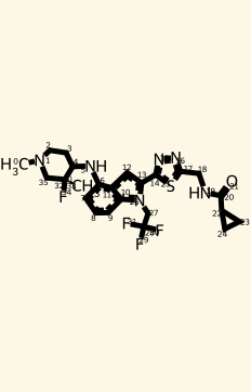 CN1CCC(Nc2cccc3c2cc(-c2nnc(CNC(=O)C4CC4)s2)n3CC(F)(F)F)[C@@](C)(F)C1